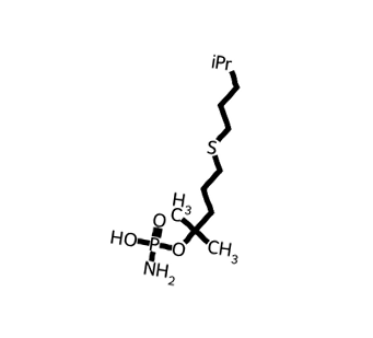 CC(C)CCCSCCCC(C)(C)OP(N)(=O)O